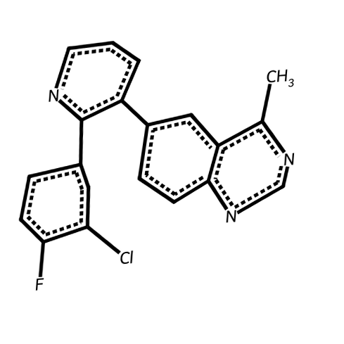 Cc1ncnc2ccc(-c3cccnc3-c3ccc(F)c(Cl)c3)cc12